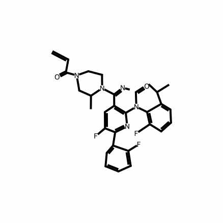 C=CC(=O)N1CCN(/C(=N/C)c2cc(F)c(-c3ccccc3F)nc2N(C=O)c2c(F)cccc2C(C)C)C(C)C1